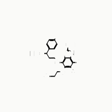 CC(=O)c1c(OCCCl)c(OCCC(C)c2ccc(F)cc2)c2oc(C)nc2c1Cl